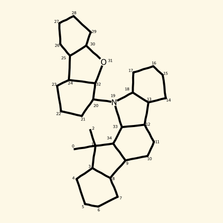 CC1(C)C2CCCCC2C2CCC3C4CCCCC4N(C4CCCC5C6CCCCC6OC54)C3C21